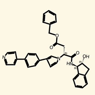 O=C(C[C@H](C(=O)N[C@@H]1c2ccccc2C[C@H]1O)n1ccc(-c2ccc(-c3ccncc3)cc2)c1)OCc1ccccc1